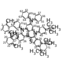 Cc1cccc(C)c1-c1cccc(N2c3cc(-c4c(C)cccc4C)ccc3B3c4sc5cc6c(cc5c4N(c4ccc(C(C)(C)C)cc4)c4cc(N(c5ccccc5)c5ccccc5)cc2c43)C(C)(C)CCC6(C)C)c1